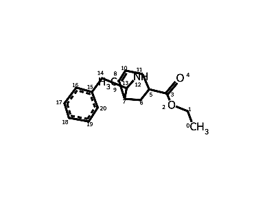 CCOC(=O)C1CC2C(C)=CC1NC2Cc1ccccc1